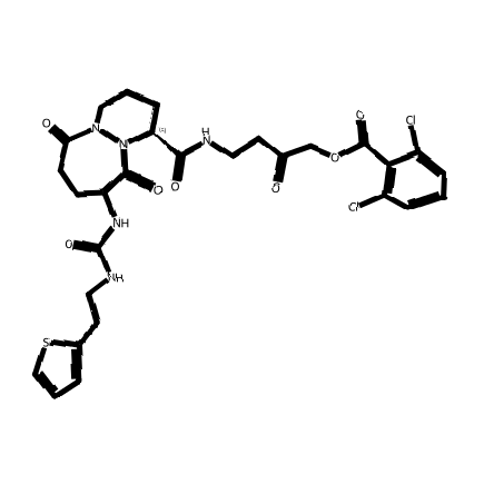 O=C(CCNC(=O)[C@@H]1CCCN2C(=O)CCC(NC(=O)NCCc3cccs3)C(=O)N12)COC(=O)c1c(Cl)cccc1Cl